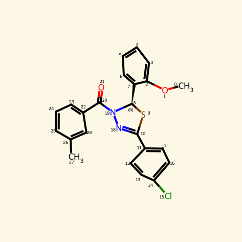 COc1ccccc1[C@H]1SC(c2ccc(Cl)cc2)=NN1C(=O)c1cccc(C)c1